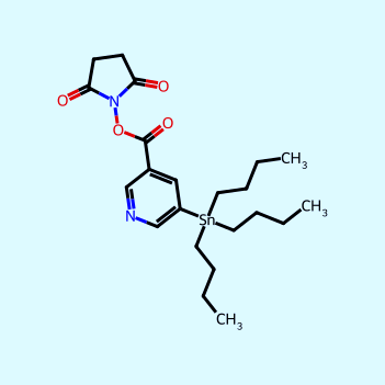 CCC[CH2][Sn]([CH2]CCC)([CH2]CCC)[c]1cncc(C(=O)ON2C(=O)CCC2=O)c1